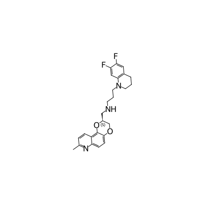 Cc1ccc2c3c(ccc2n1)OC[C@H](CNCCCN1CCCc2cc(F)c(F)cc21)O3